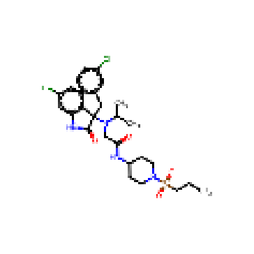 CCCS(=O)(=O)N1CCC(NC(=O)CN(C(C)C)C2(Cc3cccc(Cl)c3)C(=O)Nc3cc(Cl)ccc32)CC1